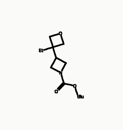 CCC1(C2CN(C(=O)OC(C)(C)C)C2)COC1